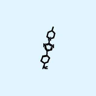 CC(=O)C1CC=C(c2cnc(N3CCC(C)CC3)nc2)CC1